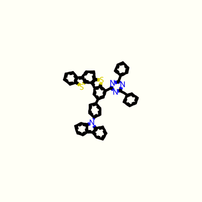 c1ccc(-c2nc(-c3ccccc3)nc(-c3cc(-c4ccc(-n5c6ccccc6c6ccccc65)cc4)cc4c3sc3ccc5c6ccccc6sc5c34)n2)cc1